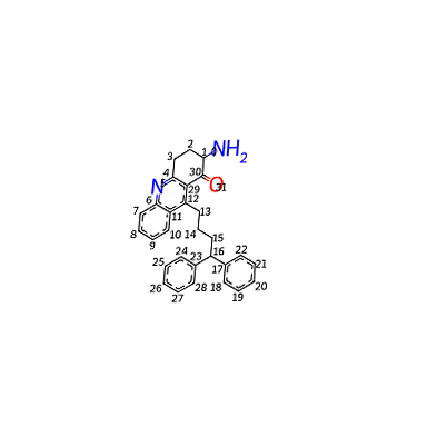 NC1CCc2nc3ccccc3c(CCCC(c3ccccc3)c3ccccc3)c2C1=O